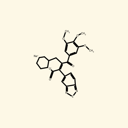 COc1cc(C(=O)C(CC2CCCCC2)=C(C(=O)[O-])c2ccc3nsnc3c2)cc(OC)c1OC.[Na+]